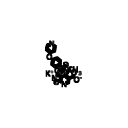 Cc1noc2ncc(C(=O)[O-])c(N(C)S(=O)(=O)c3ccc(Oc4ccncc4)cc3)c12.[K+]